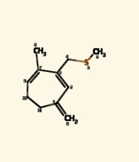 C=C1C=C(CSC)C(C)=CCC1